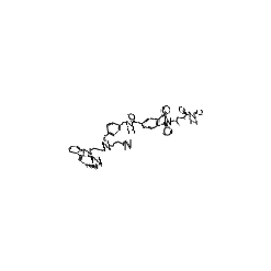 CC(CCC(=O)NC=O)N1C(=O)c2ccc(C(=O)NCc3ccc(CN(CCC#N)CCn4c5ccccc5c5cccnc54)cc3)cc2C1=O